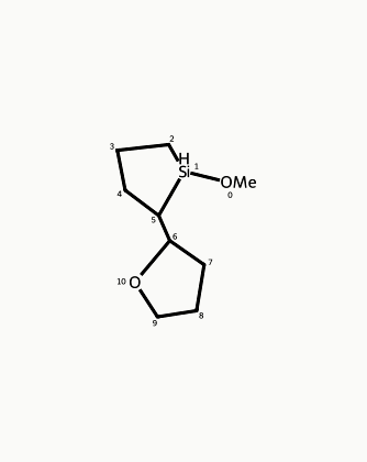 CO[SiH]1CCCC1C1CCCO1